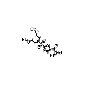 CCOCCN(CCOCC)S(=O)(=O)c1ncn(C(=O)N(CC)CC)n1